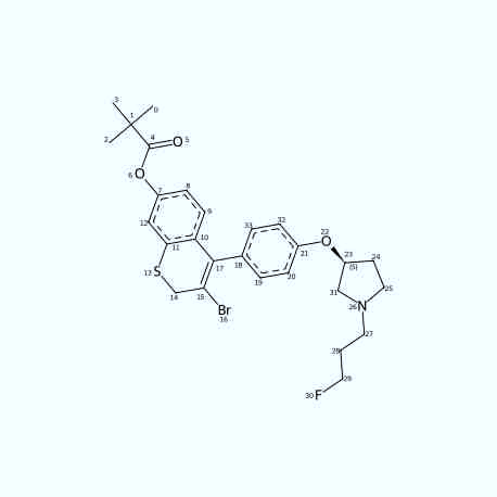 CC(C)(C)C(=O)Oc1ccc2c(c1)SCC(Br)=C2c1ccc(O[C@H]2CCN(CCCF)C2)cc1